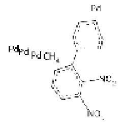 C.O=[N+]([O-])c1cccc(-c2ccccc2)c1[N+](=O)[O-].[Pd].[Pd].[Pd].[Pd]